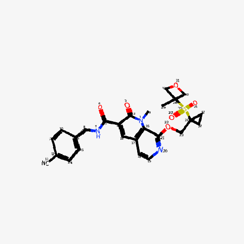 Cn1c(=O)c(C(=O)NCc2ccc(C#N)cc2)cc2ccnc(OCC3(S(=O)(=O)C4(C)COC4)CC3)c21